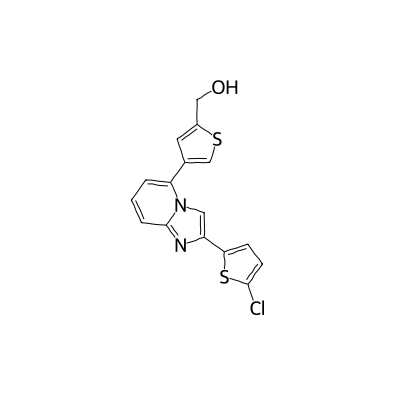 OCc1cc(-c2cccc3nc(-c4ccc(Cl)s4)cn23)cs1